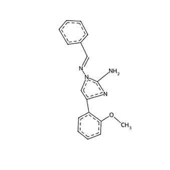 COc1ccccc1-c1cn(/N=C/c2ccccc2)c(N)n1